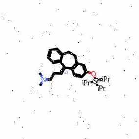 CC(C)[Si](Oc1ccc2c(c1)CCc1ccccc1/C2=C\CCN(C)C)(C(C)C)C(C)C